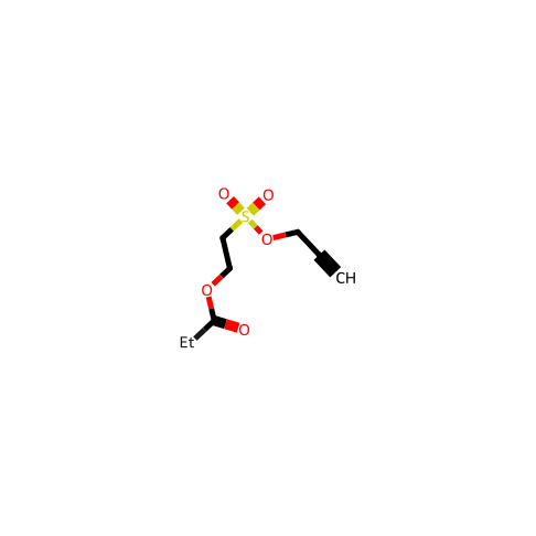 C#CCOS(=O)(=O)CCOC(=O)CC